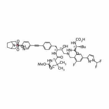 COC(=O)N[C@H](C(=O)N[C@@H](Cc1ccc(C#Cc2ccc(N3CC4CCC(C3)N4S(C)(=O)=O)nc2)cc1)[C@@H](O)CN(Cc1c(F)cc(-c2ccn(C(F)F)n2)cc1F)NC(=O)[C@@H](NC(=O)O)C(C)(C)C)C(C)(C)C(F)(F)F